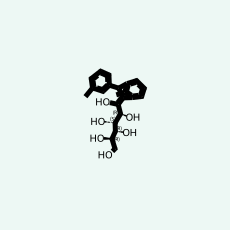 Cc1cccc(C2C(=C(O)[C@H](O)[C@@H](O)[C@H](O)[C@H](O)CO)c3cccc2c3C)c1